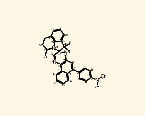 CCN(CC)c1ccc(-c2cc3c(c4ccccc24)N=C[C@]2(O3)N3c4c(cccc4C2(C)C)CCC3C)cc1